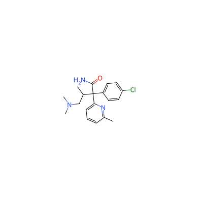 Cc1cccc(C(C(N)=O)(c2ccc(Cl)cc2)C(C)CN(C)C)n1